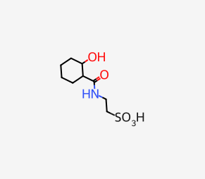 O=C(NCCS(=O)(=O)O)C1CCCCC1O